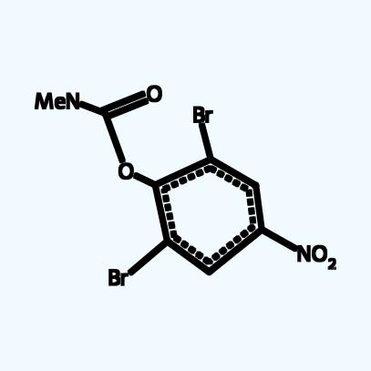 CNC(=O)Oc1c(Br)cc([N+](=O)[O-])cc1Br